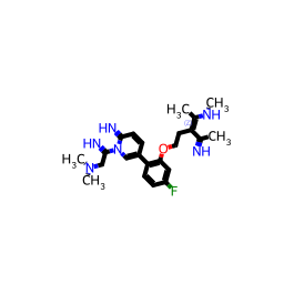 CN/C(C)=C(/CCOc1cc(F)ccc1-c1ccc(=N)n(C(=N)CN(C)C)c1)C(C)=N